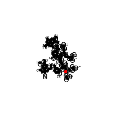 CCCC(C#N)(CCCN(C)C(C)c1ccc(OC)c(OC(OC(=O)C(=O)OC(Oc2cc(C(C)N(C)CCCC(C#N)(CCC)c3ccc(OC)c(OC)c3)ccc2OC)C(=O)N(CCO[N+](=O)[O-])CCO[N+](=O)[O-])C(=O)N(CCO[N+](=O)[O-])CCO[N+](=O)[O-])c1)c1ccc(OC)c(OC)c1.O